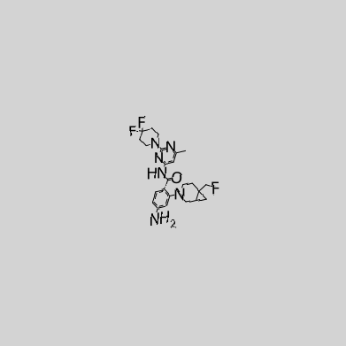 Cc1cc(NC(=O)c2ccc(N)cc2N2CCC3(CF)CC3C2)nc(N2CCC(F)(F)CC2)n1